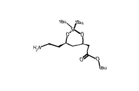 CC(C)(C)OC(=O)C[C@H]1C[C@@H](CCN)O[Si](C(C)(C)C)(C(C)(C)C)O1